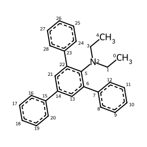 CCN(CC)c1c(-c2ccccc2)cc(-c2ccccc2)cc1-c1ccccc1